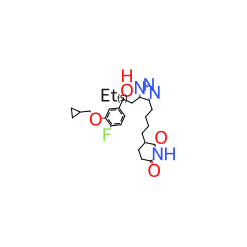 CC[C@](O)(CC1N=NN=C1CCCCC1CCC(=O)NC1=O)c1ccc(F)c(OCC2CC2)c1